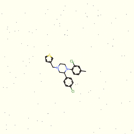 Cc1ccc(N2CCN(Cc3ccsc3)CC2c2ccc(Cl)cc2)c(Cl)c1